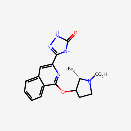 CC(C)(C)[C@H]1C(Oc2nc(-c3n[nH]c(=O)[nH]3)cc3ccccc23)CCN1C(=O)O